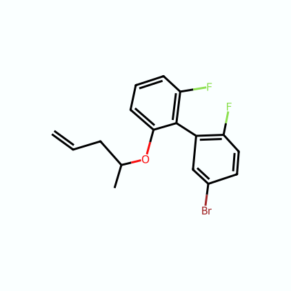 C=CCC(C)Oc1cccc(F)c1-c1cc(Br)ccc1F